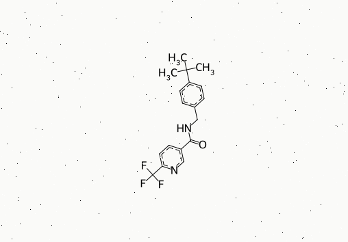 CC(C)(C)c1ccc(CNC(=O)c2ccc(C(F)(F)F)nc2)cc1